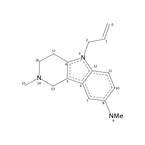 C=CCn1c2c(c3cc(NC)ccc31)CN(C)CC2